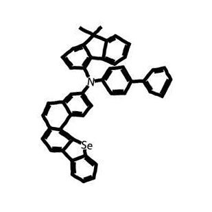 CC1(C)c2ccccc2-c2c(N(c3ccc(-c4ccccc4)cc3)c3ccc4c(ccc5ccc6c7ccccc7[se]c6c54)c3)cccc21